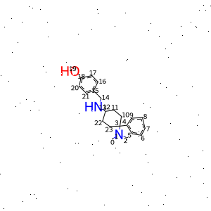 CN(C)C1(c2ccccc2)CCC(NCc2ccc(O)cc2)CC1